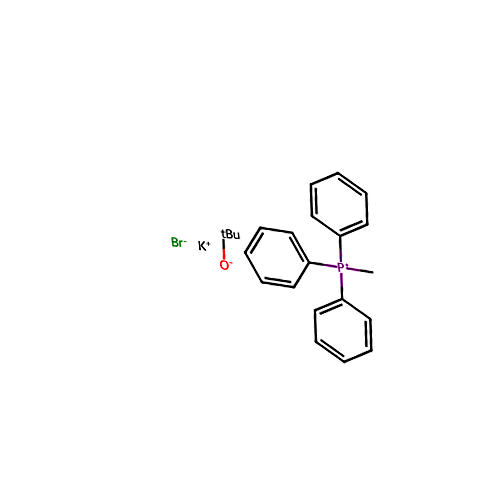 CC(C)(C)[O-].C[P+](c1ccccc1)(c1ccccc1)c1ccccc1.[Br-].[K+]